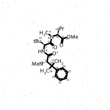 CN[C@H](C(=O)N[C@H](C(=O)N(C)[C@H](C(=O)OC)C(C)C)C(C)(C)C)C(C)(C)c1ccccc1